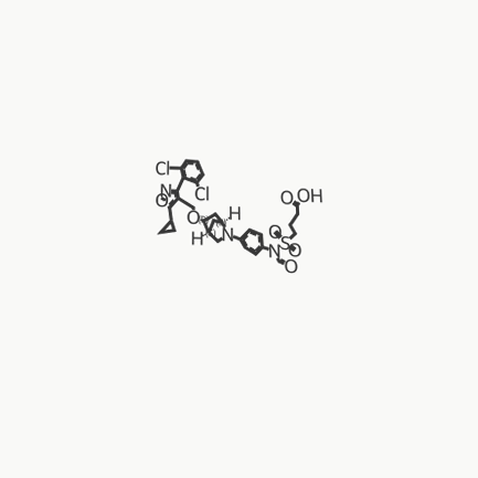 O=CN(c1ccc(N2C[C@@H]3C[C@H]2C[C@H]3OCc2c(-c3c(Cl)cccc3Cl)noc2C2CC2)cc1)S(=O)(=O)CCCC(=O)O